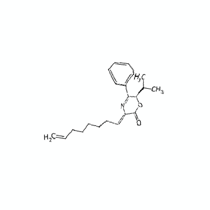 C=CCCCCCC=C1N=C(c2ccccc2)[C@@H](C(C)C)OC1=O